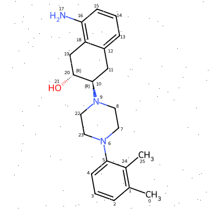 Cc1cccc(N2CCN([C@@H]3Cc4cccc(N)c4C[C@H]3O)CC2)c1C